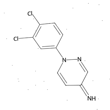 N=c1ccn(-c2ccc(Cl)c(Cl)c2)nc1